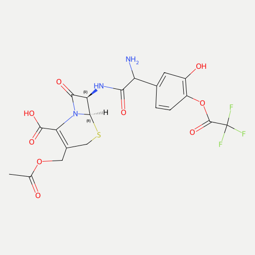 CC(=O)OCC1=C(C(=O)O)N2C(=O)[C@@H](NC(=O)C(N)c3ccc(OC(=O)C(F)(F)F)c(O)c3)[C@H]2SC1